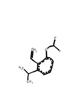 C=Cc1c(OC(F)F)cccc1[C](C)C